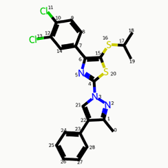 Cc1nn(-c2nc(-c3ccc(Cl)c(Cl)c3)c(SC(C)C)s2)cc1-c1ccccc1